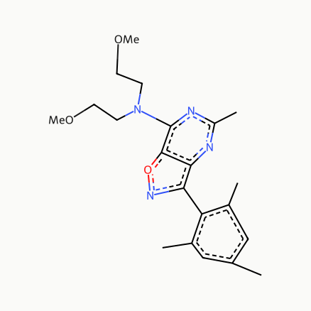 COCCN(CCOC)c1nc(C)nc2c(-c3c(C)cc(C)cc3C)noc12